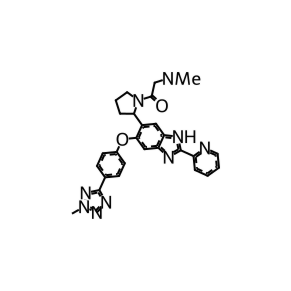 CNCC(=O)N1CCCC1c1cc2[nH]c(-c3ccccn3)nc2cc1Oc1ccc(-c2nnn(C)n2)cc1